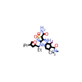 CC[C@@H](NC1=NS(=O)(=O)C(C(N)=O)=C1Nc1ccc(C(F)(F)F)c(C(=O)N(C)C)c1I)c1cc(C(C)C)co1